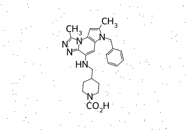 Cc1cc2c(cc(NCC3CCN(C(=O)O)CC3)c3nnc(C)n32)n1Cc1ccccc1